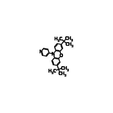 CC(C)(C)c1ccc2c(c1)Oc1cc(C(C)(C)C)ccc1N2c1ccncc1